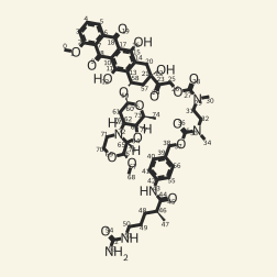 COc1cccc2c1C(=O)c1c(O)c3c(c(O)c1C2=O)C[C@@](O)(C(=O)COC(=O)N(C)CCN(C)C(=O)OCc1ccc(NC(=O)[C@@H](C)CCCNC(N)=O)cc1)C[C@@H]3O[C@H]1C[C@H]2[C@H](O[C@@H]3[C@@H](OC)OCCN32)[C@H](C)O1